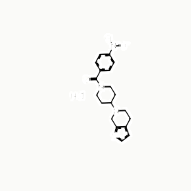 Cl.O=C(c1ccc([N+](=O)[O-])cc1)N1CCC(N2CCc3ccsc3C2)CC1